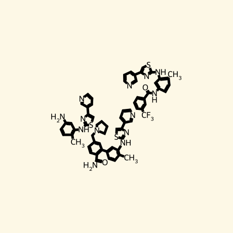 Cc1ccc(-c2cc(CN3CCCC3)ccc2C(N)=O)cc1Nc1nc(-c2cccnc2)cs1.Cc1ccc(N)cc1Nc1nc(-c2cccnc2)cs1.Cc1ccc(NC(=O)c2cccc(C(F)(F)F)c2)cc1Nc1nc(-c2cccnc2)cs1